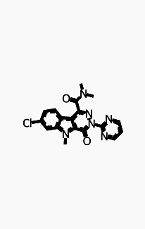 CN(C)C(=O)c1nn(-c2ncccn2)c(=O)c2c1c1ccc(Cl)cc1n2C